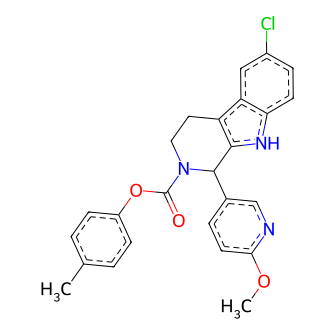 COc1ccc(C2c3[nH]c4ccc(Cl)cc4c3CCN2C(=O)Oc2ccc(C)cc2)cn1